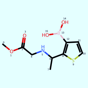 COC(=O)CNC(C)c1sccc1B(O)O